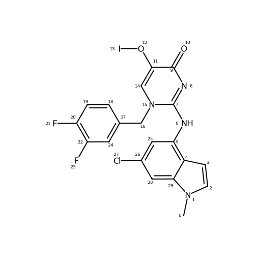 Cn1ccc2c(Nc3nc(=O)c(OI)cn3Cc3ccc(F)c(F)c3)cc(Cl)cc21